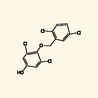 Oc1cc(Cl)c(OCc2cc(Cl)ccc2Cl)c(Cl)c1